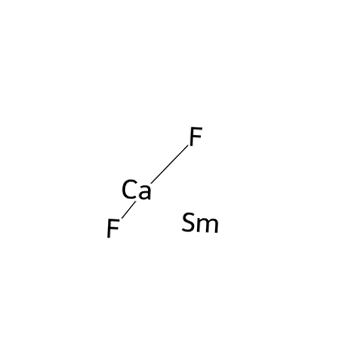 [F][Ca][F].[Sm]